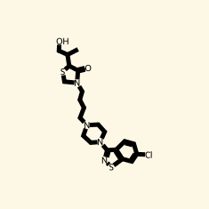 CC(CO)C1SCN(CCCCN2CCN(c3nsc4cc(Cl)ccc34)CC2)C1=O